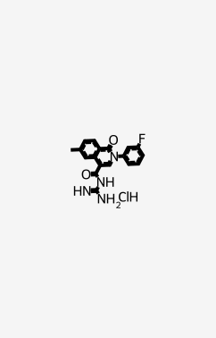 Cc1ccc2c(=O)n(-c3cccc(F)c3)cc(C(=O)NC(=N)N)c2c1.Cl